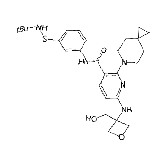 CC(C)(C)NSc1cccc(NC(=O)c2ccc(NC3(CO)COC3)nc2N2CCC3(CC2)CC3)c1